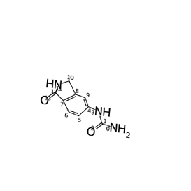 NC(=O)Nc1ccc2c(c1)CNC2=O